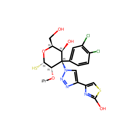 CC(C)O[C@@H]1[C@H](S)O[C@@H](CO)[C@@H](O)[C@@]1(c1ccc(Cl)c(Cl)c1)n1cc(-c2csc(O)n2)nn1